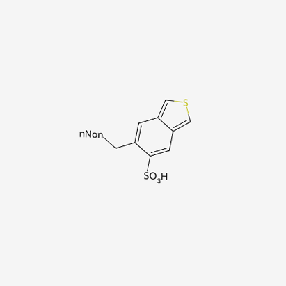 CCCCCCCCCCc1cc2cscc2cc1S(=O)(=O)O